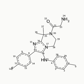 Cc1ccc(Nc2c(-c3ccc(F)cc3)nc3n2CCN(C(=O)CN)C3(C)C)cc1